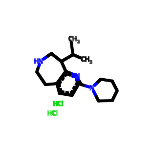 CC(C)C1CNCCc2ccc(N3CCCCC3)nc21.Cl.Cl